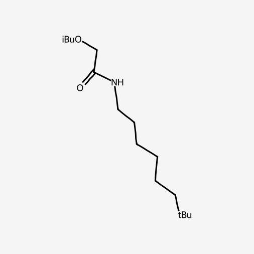 CC(C)COCC(=O)NCCCCCCC(C)(C)C